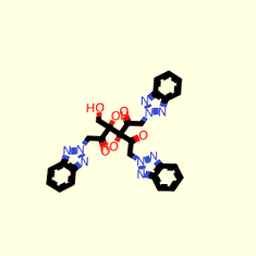 O=C(Cn1nc2ccccc2n1)C(O)(CO)C(O)(C(=O)Cn1nc2ccccc2n1)C(=O)Cn1nc2ccccc2n1